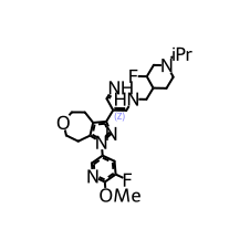 COc1ncc(-n2nc(/C(C=N)=C/NCC3CCN(C(C)C)CC3F)c3c2CCOCC3)cc1F